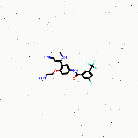 CN/C(=C\C=N)c1cc(NC(=O)c2cc(F)cc(C(F)(F)F)c2)ccc1OCCN